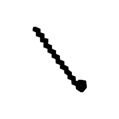 CCCCCCCCCCCCCCCCCCCCCc1ccccc1